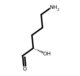 NCCC[C@H](O)[C]=O